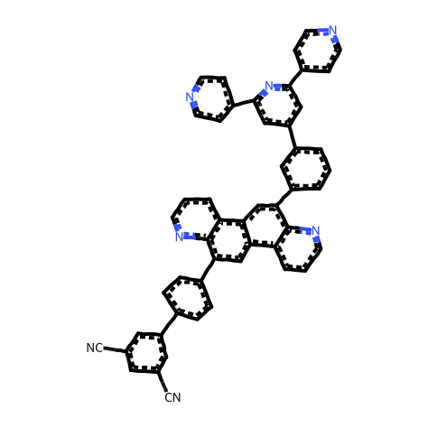 N#Cc1cc(C#N)cc(-c2ccc(-c3cc4c5cccnc5c(-c5cccc(-c6cc(-c7ccncc7)nc(-c7ccncc7)c6)c5)cc4c4cccnc34)cc2)c1